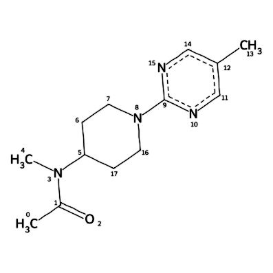 CC(=O)N(C)C1CCN(c2ncc(C)cn2)CC1